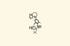 Cc1cc(N2CCCCc3ncccc32)cc(C)c1NC(O)CC(C)(C)C